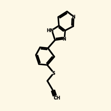 C#CCSc1cccc(-c2nc3cnccc3[nH]2)c1